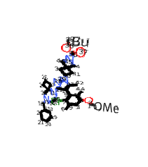 COCOc1cc(C)c(Cl)c(-c2c(N3CCN(Cc4ccccc4)CC34CCC4)nn(C3CC4(C3)CN(C(=O)OC(C)(C)C)C4)c2C)c1C